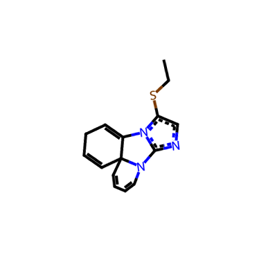 CCSc1cnc2n1C1=CCC=CC13C=CC=CN23